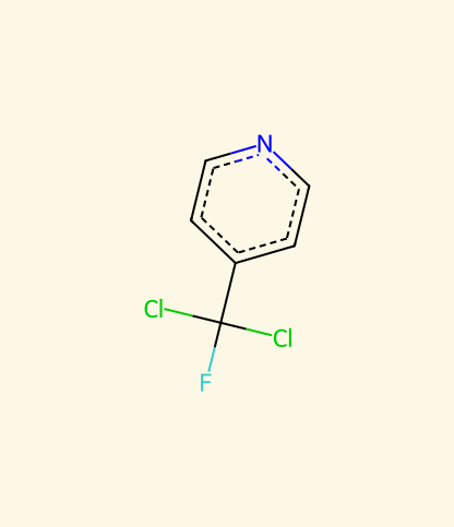 FC(Cl)(Cl)c1ccncc1